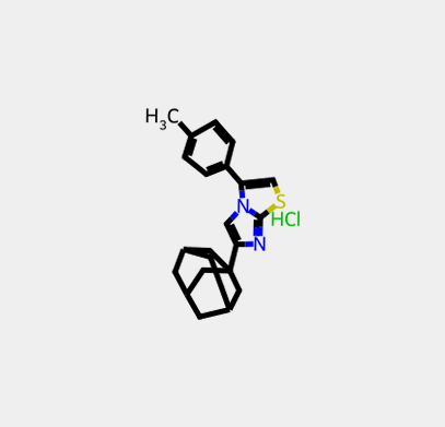 Cc1ccc(-c2csc3nc(C45CC6CC(CC(C6)C4)C5)cn23)cc1.Cl